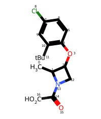 CC1C(Oc2ccc(Cl)cc2C(C)(C)C)CN1C(=O)C(=O)O